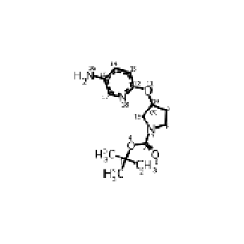 CC(C)(C)OC(=O)N1CC[C@H](Oc2ccc(N)cn2)C1